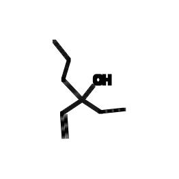 C=CC(O)(CC)CCC